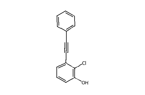 Oc1cccc(C#Cc2ccccc2)c1Cl